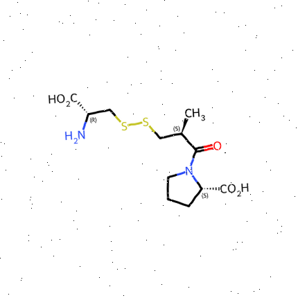 C[C@H](CSSC[C@H](N)C(=O)O)C(=O)N1CCC[C@H]1C(=O)O